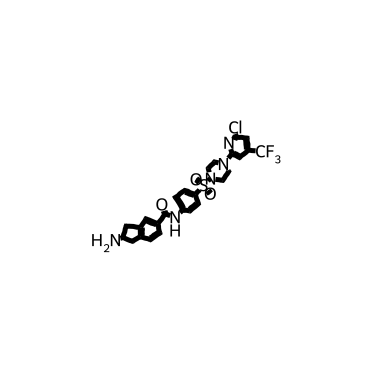 NC1Cc2ccc(C(=O)Nc3ccc(S(=O)(=O)N4CCN(c5cc(C(F)(F)F)cc(Cl)n5)CC4)cc3)cc2C1